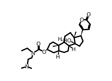 CCN(CCN(C)C)C(=O)O[C@H]1CC[C@@]2(C)[C@H](CC[C@@H]3[C@@H]2CC[C@]2(C)[C@@H](c4ccc(=O)oc4)CC[C@]32O)C1